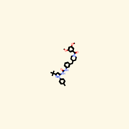 COc1cc(OC)cc(C(=O)N2CCC(Cc3cccc(NC(=O)Nc4cc(C(C)(C)C)nn4-c4ccc(C)cc4)c3)CC2)c1